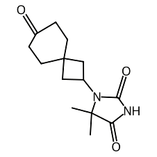 CC1(C)C(=O)NC(=O)N1C1CC2(CCC(=O)CC2)C1